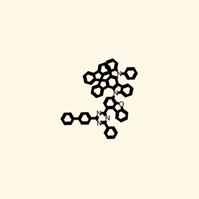 c1ccc(-c2ccc(-c3nc(-c4ccccc4)nc(-c4ccc(-n5c6ccccc6c6c5c5c(c7c8ccccc8n(-c8ccccc8)c76)C6(c7ccccc7-c7ccccc76)c6ccccc6-5)c5oc6ccccc6c45)n3)cc2)cc1